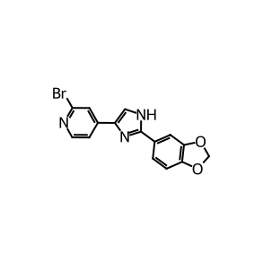 Brc1cc(-c2c[nH]c(-c3ccc4c(c3)OCO4)n2)ccn1